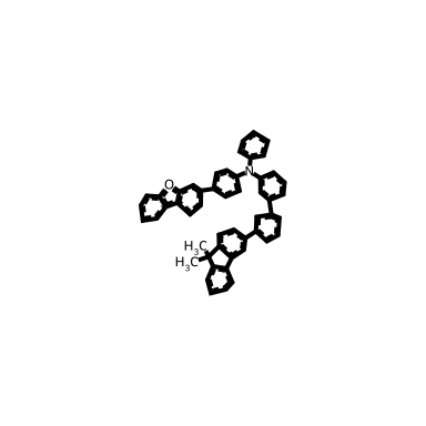 CC1(C)c2ccccc2-c2cc(-c3cccc(-c4cccc(N(c5ccccc5)c5ccc(-c6ccc7c(c6)oc6ccccc67)cc5)c4)c3)ccc21